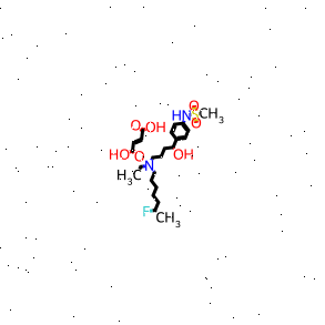 CCN(CCCCC[C@H](C)F)CCCC(O)c1ccc(NS(C)(=O)=O)cc1.O=C(O)/C=C/C(=O)O